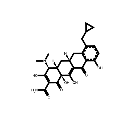 CN(C)[C@@H]1C(O)=C(C(N)=O)C(=O)[C@@]2(O)C(O)=C3C(=O)c4c(O)ccc(CC5CC5)c4C[C@H]3C[C@@H]12